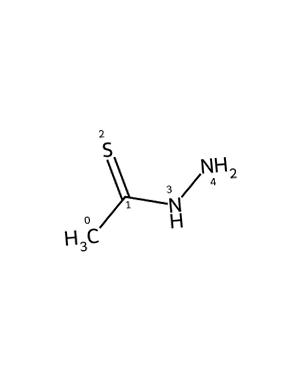 CC(=S)NN